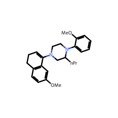 CCCC1CN(C2=CCCc3ccc(OC)cc32)CCN1c1ccccc1OC